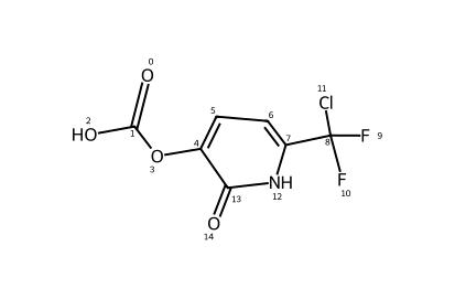 O=C(O)Oc1ccc(C(F)(F)Cl)[nH]c1=O